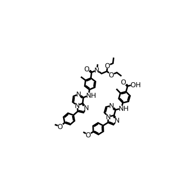 CCOC(CN(C)C(=O)c1ccc(Nc2nccn3c(-c4ccc(OC)cc4)cnc23)cc1C)OCC.COc1ccc(-c2cnc3c(Nc4ccc(C(=O)O)c(C)c4)nccn23)cc1